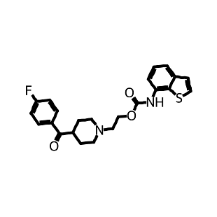 O=C(Nc1cccc2ccsc12)OCCN1CCC(C(=O)c2ccc(F)cc2)CC1